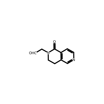 O=CCN1CCc2cnccc2C1=O